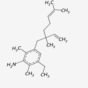 C=CC(C)(CCC=C(C)C)Cc1cc(CC)c(C)c(N)c1C